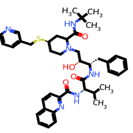 CC(C)[C@H](NC(=O)c1ccc2ccccc2n1)C(=O)N[C@@H](Cc1ccccc1)[C@H](O)CN1CC[C@@H](SCc2cccnc2)CC1C(=O)NC(C)(C)C